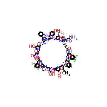 CCCC[C@H]1C(=O)N2C[C@H](O)C[C@@H]2C(=O)N[C@@H](CC(=O)O)C(=O)N[C@@H](C(C)C)C(=O)N(C)[C@@H](Cc2ccccc2)C(=O)N[C@@H](CC(=O)O)C(=O)N2C[C@H](O)C[C@H]2C(=O)N[C@@H](Cc2c[nH]c3ccccc23)C(=O)N[C@@H](Cc2ccc(O)cc2)C(=O)N[C@@H](CC(C)C)C(=O)N[C@H](C(=O)NCC(N)=O)CSCC(=O)N[C@@H](Cc2cc(F)c(F)c(F)c2)C(=O)N(C)[C@@H](Cc2ccccc2)C(=O)N1C